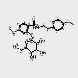 COc1ccc(CCNC(=O)c2ccc(OC)cc2O[C@@H]2OC(CO)C(O)C(O)C2O)cc1